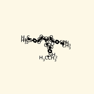 CC(C)=C[SiH2]c1ccc(C(=O)OOC(=O)OCC(C)(COC(=O)OOC(=O)c2ccc([SiH2]C=C(C)C)cc2)COC(=O)OOC(=O)c2ccc([SiH2]C=C(C)C)cc2)cc1